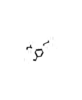 C=CC(=C)C.C=CC(=C)C.C=Cc1ccccc1